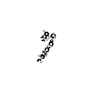 C=CC(=O)N1C[C@@H]2C[C@H]1CN2S(=O)(=O)N1CCC(F)(CN2CCC3(CC2)CN(c2ncncc2Oc2ccc(F)cc2C(=O)N(C(C)C)C(C)C)C3)CC1